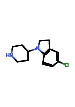 Clc1ccc2c(c1)CCN2C1CCNCC1